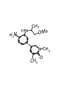 COCC(C)Nc1cc(-c2cc(C)c(=O)n(C)c2)ccc1N